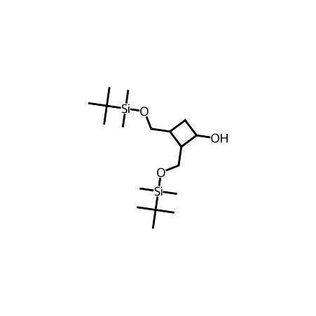 CC(C)(C)[Si](C)(C)OCC1CC(O)C1CO[Si](C)(C)C(C)(C)C